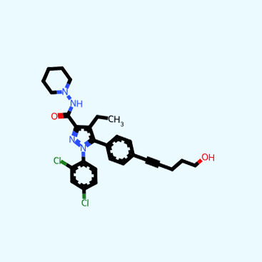 CCc1c(C(=O)NN2CCCCC2)nn(-c2ccc(Cl)cc2Cl)c1-c1ccc(C#CCCCO)cc1